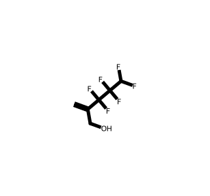 C=C(CO)C(F)(F)C(F)(F)C(F)F